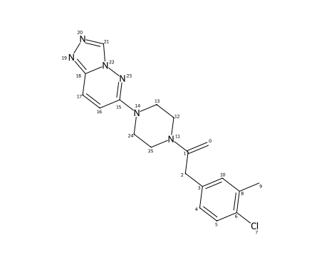 C=C(Cc1ccc(Cl)c(C)c1)N1CCN(c2ccc3nncn3n2)CC1